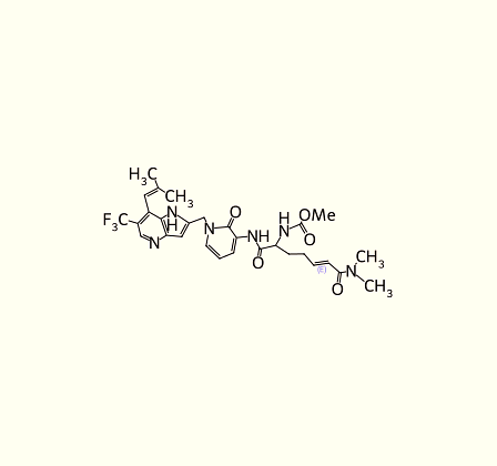 COC(=O)NC(CC/C=C/C(=O)N(C)C)C(=O)Nc1cccn(Cc2cc3ncc(C(F)(F)F)c(C=C(C)C)c3[nH]2)c1=O